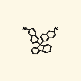 CC(=O)c1ccc2cc(C3(c4ccc5cc(C(C)=O)ccc5c4)c4ccccc4-c4ccccc43)ccc2c1